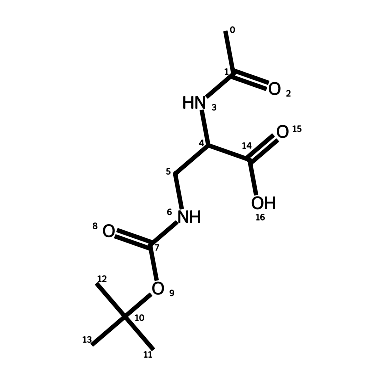 CC(=O)NC(CNC(=O)OC(C)(C)C)C(=O)O